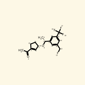 CC(=O)C1=C[C@@H](O[C@H](C)c2cc(CF)cc(C(F)(F)F)c2)CC1